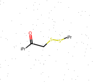 CC(C)SSCC(=O)C(C)C